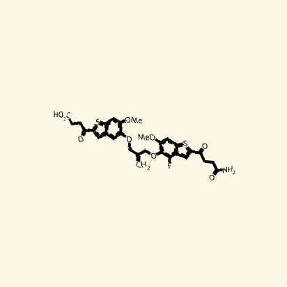 C=C(COc1cc2cc(C(=O)CCC(=O)O)sc2cc1OC)COc1c(OC)cc2sc(C(=O)CCC(N)=O)cc2c1F